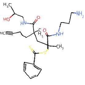 C#CCCC(C)(CC(C)(SC(=S)c1ccccc1)C(=O)NCCCN)C(=O)NCC(C)O